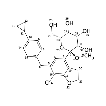 CO[C@@]1(c2cc(Cc3ccc(C4CC4)cc3)c(Cl)c3c2CCO3)O[C@H](CO)C(O)C(O)C1O